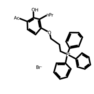 CCCc1c(OCCC[P+](c2ccccc2)(c2ccccc2)c2ccccc2)ccc(C(C)=O)c1O.[Br-]